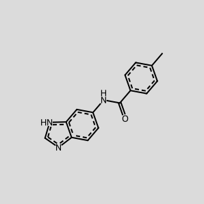 Cc1ccc(C(=O)Nc2ccc3nc[nH]c3c2)cc1